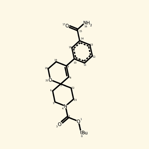 CC(C)(C)OC(=O)N1CCC2(C=C(c3cccc(C(N)=O)c3)CCO2)CC1